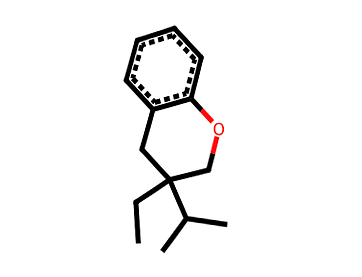 CCC1(C(C)C)COc2ccccc2C1